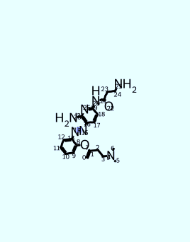 C=C(CCN(C)C)Oc1ccccc1/N=N/c1ccc(NC(=O)CCN)nc1N